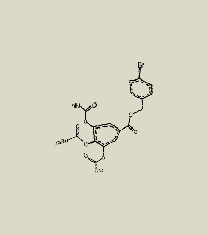 CCCCC(=O)Oc1cc(C(=O)OCc2ccc(Br)cc2)cc(OC(=O)CCCC)c1OC(=O)CCCC